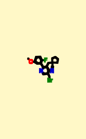 COc1ccc(F)c(-c2ncc(CBr)cc2CC2(C#N)CCCC2)c1